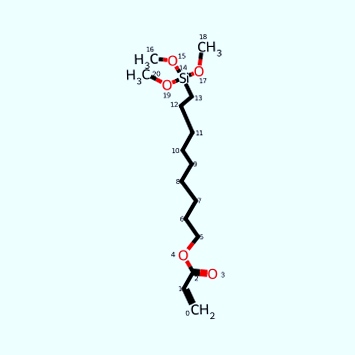 C=CC(=O)OCCCCCCCCC[Si](OC)(OC)OC